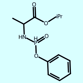 CC(C)OC(=O)C(C)N[PH](=O)Oc1ccccc1